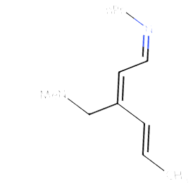 C/C=C/C(=C\C=N/CCC)CNC